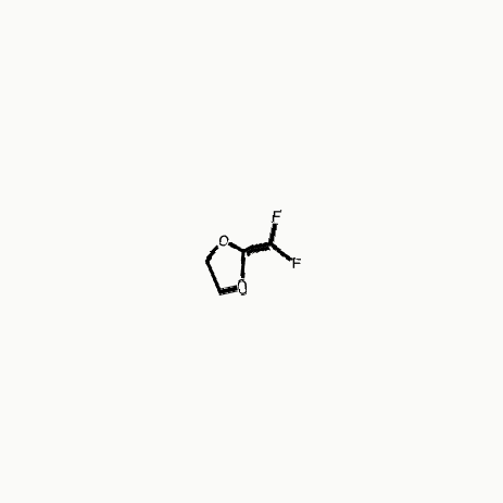 FC(F)=C1OCCO1